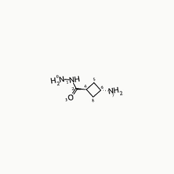 NNC(=O)[C@H]1C[C@H](N)C1